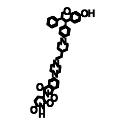 O=C1CCC(N2C(=O)c3ccc(N4CCN(CCC5CCN(c6ccc([C@@H]7c8ccc(O)cc8OC[C@@H]7c7ccccc7)cc6)CC5)CC4)cc3C2=O)C(=O)N1